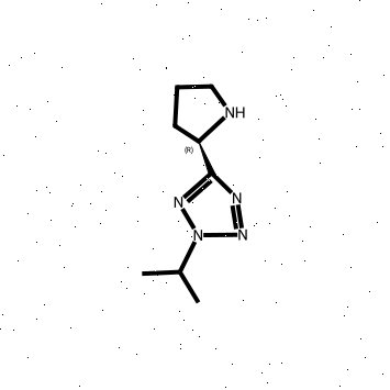 CC(C)n1nnc([C@H]2CCCN2)n1